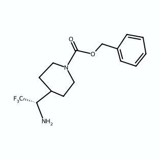 N[C@@H](C1CCN(C(=O)OCc2ccccc2)CC1)C(F)(F)F